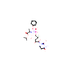 CC(C)OC(=O)C(C)NP(=O)(OC[C@@]1(F)OC(n2ccc(=O)[nH]c2=O)[C@H](O)[C@@H]1O)Oc1ccccc1